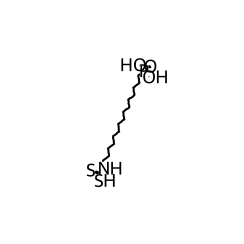 O=P(O)(O)CCCCCCCCCCCCCCCNC(=S)S